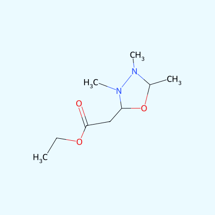 CCOC(=O)CC1OC(C)N(C)N1C